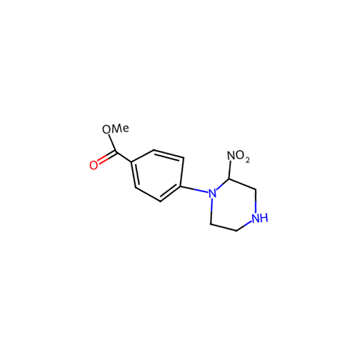 COC(=O)c1ccc(N2CCNCC2[N+](=O)[O-])cc1